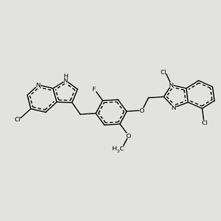 COc1cc(Cc2c[nH]c3ncc(Cl)cc23)c(F)cc1OCc1nc2c(Cl)cccc2n1Cl